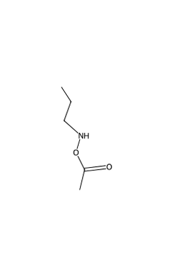 CCCNOC(C)=O